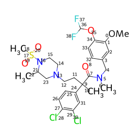 COc1cc(CN(C)C(=O)C(C)(CCN2CCN(S(C)(=O)=O)C(C)C2)c2ccc(Cl)c(Cl)c2)ccc1OC(F)F